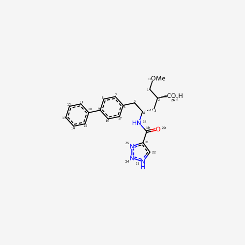 COC[C@H](C[C@@H](Cc1ccc(-c2ccccc2)cc1)NC(=O)c1c[nH]nn1)C(=O)O